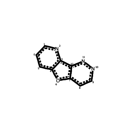 c1cnc2c(c1)oc1ccnnc12